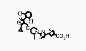 O=C(O)c1csc(-c2csc(N3CC[C@@H](OCc4c(-c5c(Cl)cccc5Cl)noc4C4CC4)C[C@H]3I)n2)c1